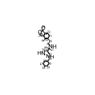 Cc1c(CCNC(C)(C)/C(C=N)=C/NCc2ccccc2)ccc2c1COC2=O